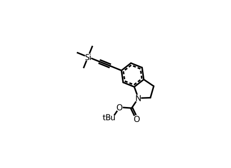 CC(C)(C)OC(=O)N1CCc2ccc(C#C[Si](C)(C)C)cc21